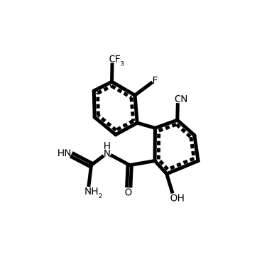 N#Cc1ccc(O)c(C(=O)NC(=N)N)c1-c1cccc(C(F)(F)F)c1F